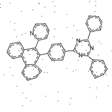 c1ccc(-c2nc(-c3ccccc3)nc(-c3ccc(-c4c(-c5ccccn5)c5ccccc5c5ccccc45)cc3)n2)cc1